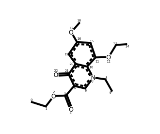 CCOC(=O)c1cn(CC)c2c(OCC)cc(OC)cc2c1=O